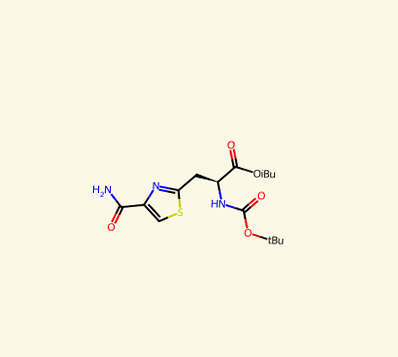 CC(C)COC(=O)[C@H](Cc1nc(C(N)=O)cs1)NC(=O)OC(C)(C)C